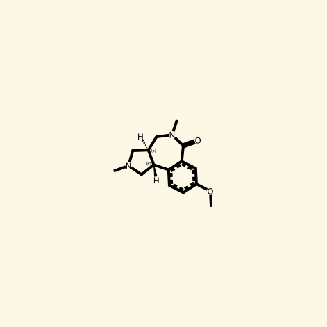 COc1ccc2c(c1)C(=O)N(C)C[C@@H]1CN(C)C[C@@H]21